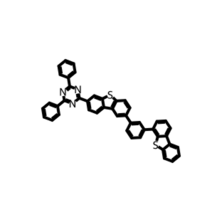 c1ccc(-c2nc(-c3ccccc3)nc(-c3ccc4c(c3)sc3ccc(-c5cccc(-c6cccc7c6sc6ccccc67)c5)cc34)n2)cc1